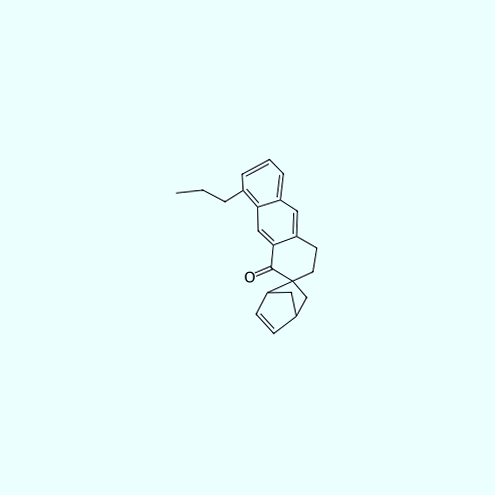 CCCc1cccc2cc3c(cc12)C(=O)C1(CC3)CC2C=CC1C2